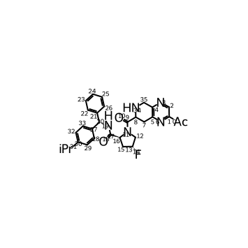 CC(=O)c1cnc2c(n1)CC(C(=O)N1C[C@H](F)C[C@H]1C(=O)N[C@@H](c1ccccc1)c1ccc(C(C)C)cc1)NC2